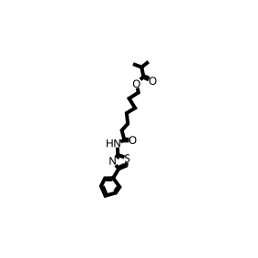 CC(C)C(=O)OCCCCCCC(=O)Nc1nc(-c2ccccc2)cs1